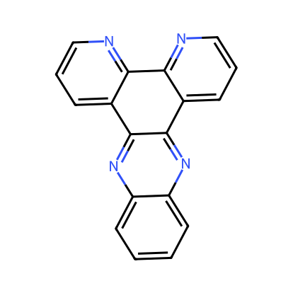 c1ccc2nc3c4cccnc4c4ncccc4c3nc2c1